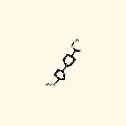 CCCCCc1ccc(-c2ccc(C(=O)OCCC)cc2)cc1